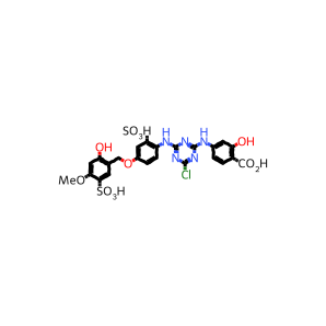 COc1cc(O)c(COc2ccc(Nc3nc(Cl)nc(Nc4ccc(C(=O)O)c(O)c4)n3)c(S(=O)(=O)O)c2)cc1S(=O)(=O)O